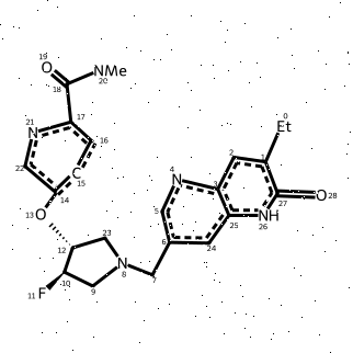 CCc1cc2ncc(CN3C[C@@H](F)[C@H](Oc4ccc(C(=O)NC)nc4)C3)cc2[nH]c1=O